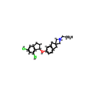 O=C(O)CN1CC2(Cc3ccc(OC4CCc5cc(Cl)cc(Cl)c54)cc3C2)C1